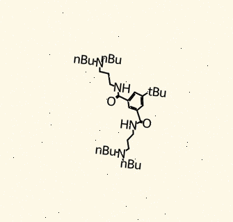 CCCCN(CCCC)CCCNC(=O)c1cc(C(=O)NCCCN(CCCC)CCCC)cc(C(C)(C)C)c1